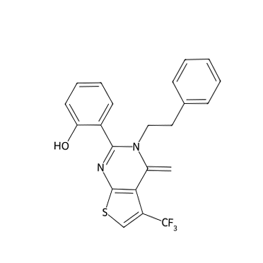 C=C1c2c(C(F)(F)F)csc2N=C(c2ccccc2O)N1CCc1ccccc1